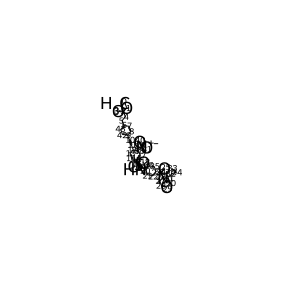 COC(=O)CCc1ccc(C#Cc2ccc(S(=O)(=O)N[C@H]3CC[C@H](C(=O)N4CCOC[C@@H]4C4CC4)CC3)cc2[N+](=O)[O-])cc1